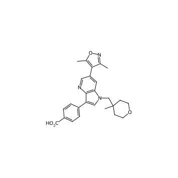 Cc1noc(C)c1-c1cnc2c(-c3ccc(C(=O)O)cc3)cn(CC3(C)CCOCC3)c2c1